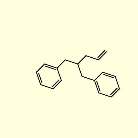 C=CC[C](Cc1ccccc1)Cc1ccccc1